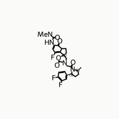 CNC(=O)NC1=CC(F)=C2C(CC[C@]23CN(CC(=O)N2[C@@H](C)CC[C@H]2c2ccc(F)c(F)c2)C(=O)O3)C1=O